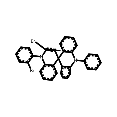 Brc1ccccc1N1c2ccccc2C2(c3ccccc3N(c3ccccc3)c3ccccc32)c2cccc(Br)c21